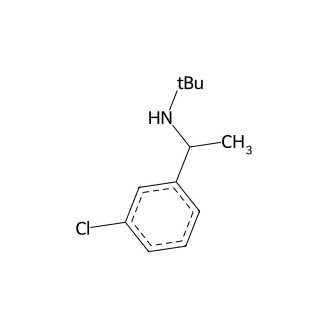 CC(NC(C)(C)C)c1cccc(Cl)c1